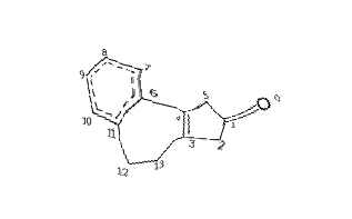 O=C1CC2=C(C1)c1ccccc1CC2